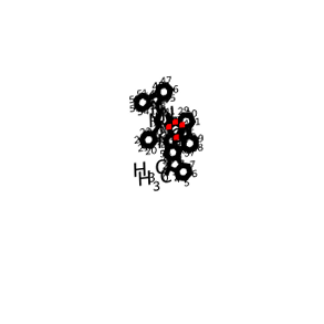 CC1(C)c2ccccc2-c2cc3c4ccccc4n(-c4ccccc4-c4nc(-c5cccc6c5oc5ccccc56)nc(-n5c6ccccc6c6ccccc65)n4)c3cc21